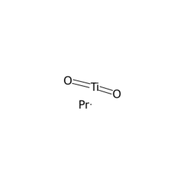 [O]=[Ti]=[O].[Pr]